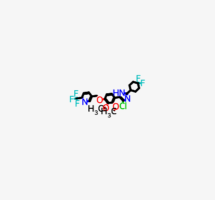 COc1c(OCc2ccc(C(F)(F)F)nc2)ccc(-c2[nH]c(C3CCC(F)(F)CC3)nc2Cl)c1OC